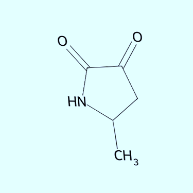 CC1CC(=O)C(=O)N1